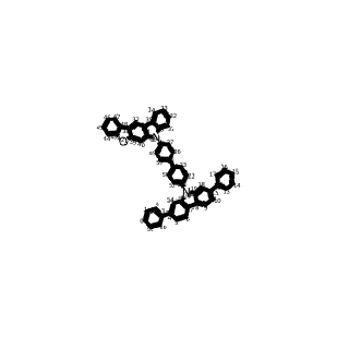 c1ccc(-c2ccc3c4ccc(-c5ccccc5)cc4n(-c4ccc(-c5ccc(-n6c7ccccc7c7cc8c(cc76)oc6ccccc68)cc5)cc4)c3c2)cc1